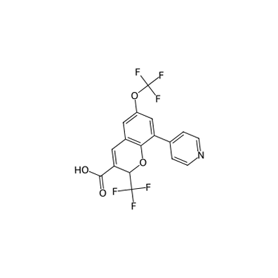 O=C(O)C1=Cc2cc(OC(F)(F)F)cc(-c3ccncc3)c2OC1C(F)(F)F